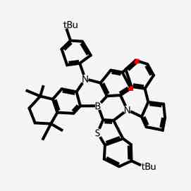 Cc1cc2c3c(c1)N(c1ccccc1-c1ccccc1)c1c(sc4ccc(C(C)(C)C)cc14)B3c1cc3c(cc1N2c1ccc(C(C)(C)C)cc1)C(C)(C)CCC3(C)C